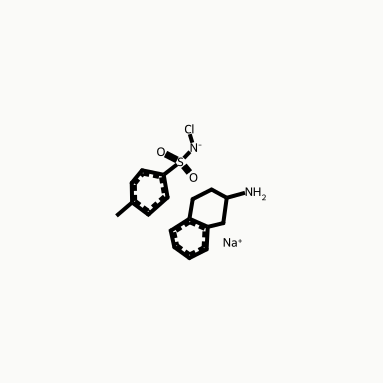 Cc1ccc(S(=O)(=O)[N-]Cl)cc1.NC1CCc2ccccc2C1.[Na+]